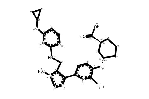 Cc1nc(-c2nnn(C)c2CNc2nccc(OC3CC3)n2)ccc1O[C@H]1CCC[C@H](C(=O)O)C1